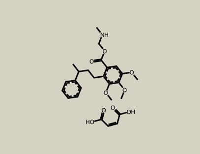 CNCOC(=O)c1cc(OC)c(OC)c(OC)c1CCC(C)c1ccccc1.O=C(O)/C=C\C(=O)O